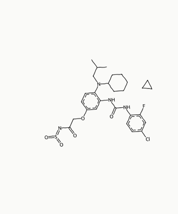 C1CC1.CC(C)CN(c1ccc(OCC(=O)N=S(=O)=O)cc1NC(=O)Nc1ccc(Cl)cc1F)C1CCCCC1